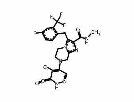 CNC(=O)c1nc2n(c1Cc1ccc(F)cc1C(F)(F)F)CCN(C1=C(Cl)C(=C=O)NN=C1)C2